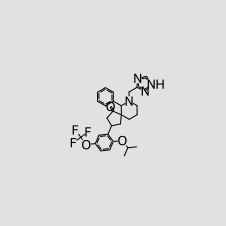 CC(C)Oc1ccc(OC(F)(F)F)cc1C1CC(=O)C2(CCCN(Cc3nc[nH]n3)C2c2ccccc2)C1